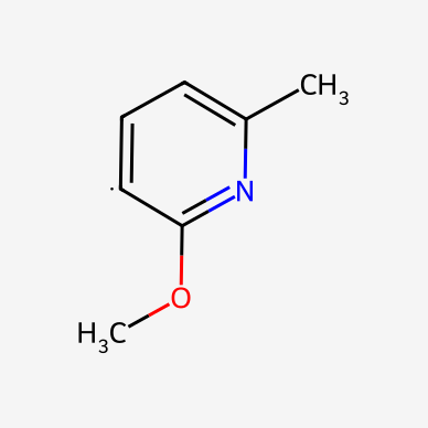 COc1[c]ccc(C)n1